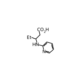 CCC(CC(=O)O)Nc1ccccn1